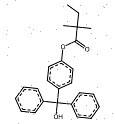 CCC(C)(C)C(=O)Oc1ccc(C(O)(c2ccccc2)c2ccccc2)cc1